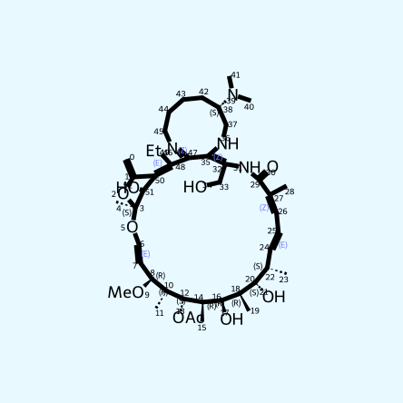 C=C1O[C@]2(C)O/C=C/[C@H](OC)[C@@H](C)[C@@H](OC(C)=O)[C@H](C)[C@H](O)[C@H](C)[C@@H](O)[C@@H](C)/C=C/C=C(/C)C(=O)N/C(CO)=C3NC[C@@H](N(C)C)CCCC/N=C\3C(/CC)=C/1C2O